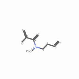 C=CCCN(CCC)C(=C)C(=C)C